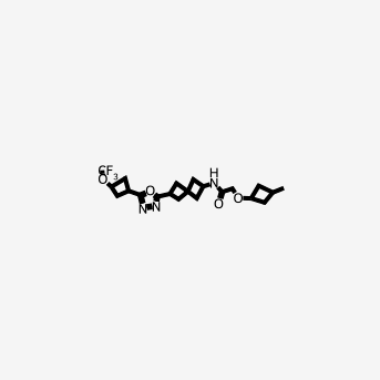 CC1CC(OCC(=O)NC2CC3(C2)CC(c2nnc(C4CC(OC(F)(F)F)C4)o2)C3)C1